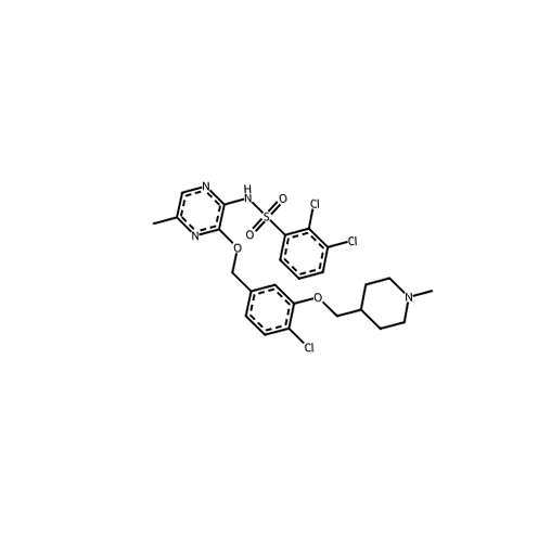 Cc1cnc(NS(=O)(=O)c2cccc(Cl)c2Cl)c(OCc2ccc(Cl)c(OCC3CCN(C)CC3)c2)n1